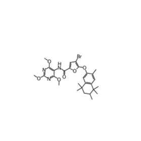 COc1nc(OC)c(NC(=O)c2cc(Br)c(Oc3cc4c(cc3C)C(C)(C)C(C)CC4(C)C)o2)c(OC)n1